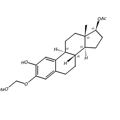 COCOc1cc2c(cc1O)[C@H]1CC[C@]3(C)[C@@H](OC(C)=O)CC[C@H]3[C@@H]1CC2